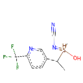 CC(c1ccc(C(F)(F)F)nc1)[SH](C)(O)=NC#N